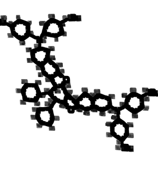 CC(C)(C)c1ccc(N(c2ccc(C(C)(C)C)cc2)c2ccc3cc4c(cc3c2)oc2c4c(-c3ccccc3)c(-c3ccccc3)c3oc4cc5cc(N(c6ccc(C(C)(C)C)cc6)c6ccc(C(C)(C)C)cc6)ccc5cc4c32)cc1